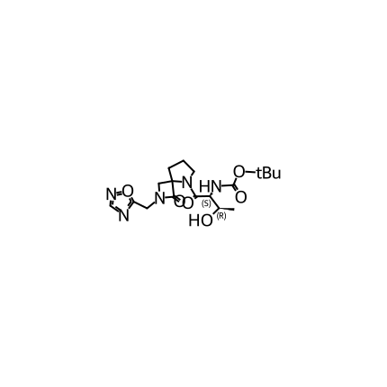 C[C@@H](O)[C@H](NC(=O)OC(C)(C)C)C(=O)N1CCCC12CN(Cc1ncno1)C2=O